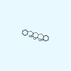 N=C(Cc1ccccc1)CC(Cc1ccccc1)C(=O)O